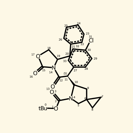 CC(C)(C)OC(=O)N1CC2(CC2)CC1[C@@H](C(=O)N1C(=O)OCC1Cc1ccccc1)c1ccc(Cl)cc1